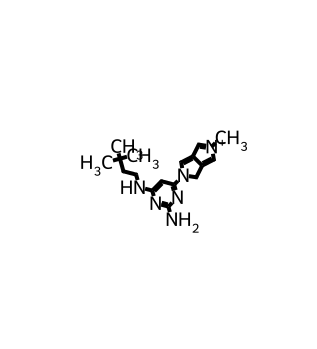 C[N+]1=CC2=CN(c3cc(NCCC(C)(C)C)nc(N)n3)CC2=C1